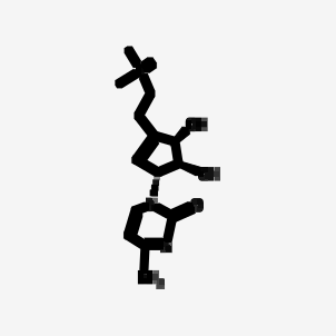 C=P(C)(C)CCC1=C[C@@H](n2ccc(N)nc2=O)[C@H](O)[C@@H]1O